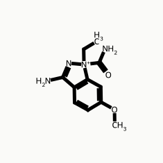 CC[N+]1(C(N)=O)N=C(N)c2c[c]c(OC)cc21